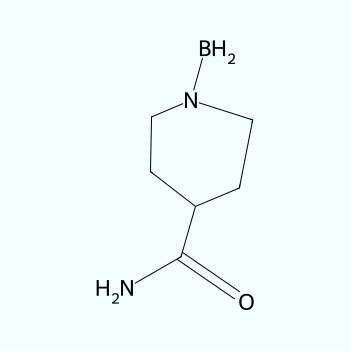 BN1CCC(C(N)=O)CC1